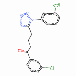 O=C(CCCc1nnnn1-c1cccc(Cl)c1)c1cccc(Cl)c1